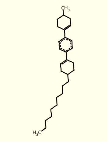 CCCCCCCCCCC1CC=C(c2ccc(C3=CCC(C)CC3)cc2)CC1